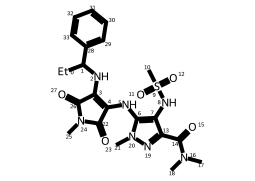 CCC(NC1=C(Nc2c(NS(C)(=O)=O)c(C(=O)N(C)C)nn2C)C(=O)N(C)C1=O)c1ccccc1